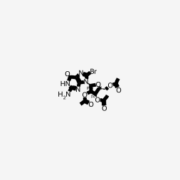 CC(=O)OC[C@H]1O[C@@H](n2c(Br)nc3c(=O)[nH]c(N)nc32)C(OC(C)=O)[C@H]1OC(C)=O